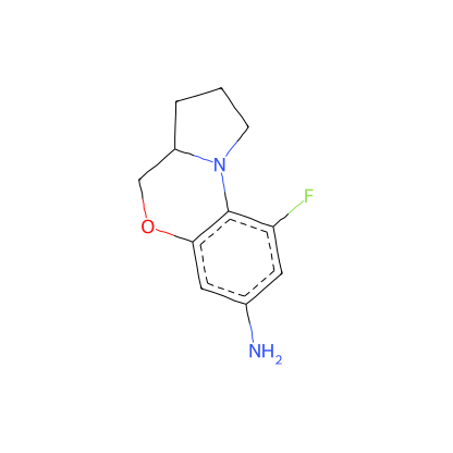 Nc1cc(F)c2c(c1)OCC1CCCN21